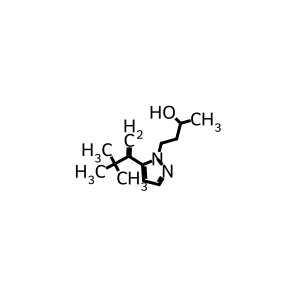 C=C(c1ccnn1CCC(C)O)C(C)(C)C